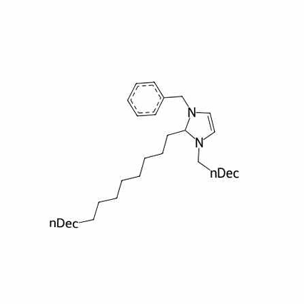 CCCCCCCCCCCCCCCCCCC1N(CCCCCCCCCCC)C=CN1Cc1ccccc1